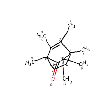 CC1=C(C)C2(C)CCC1(C)C(=O)C2(C)C